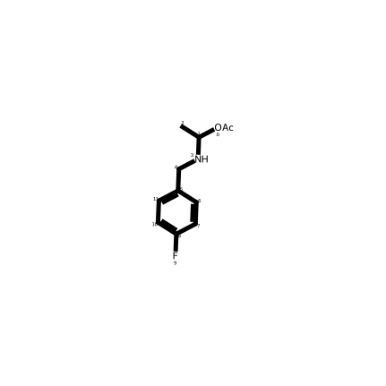 CC(=O)OC(C)NCc1ccc(F)cc1